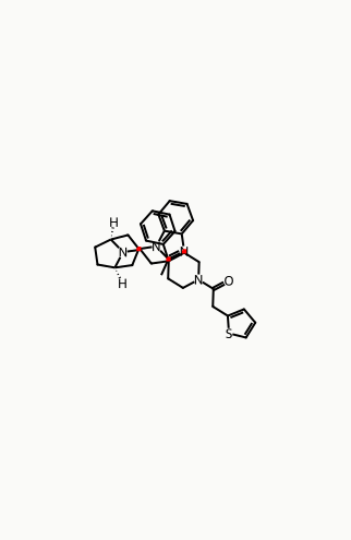 Cc1nc2ccccc2n1C1C[C@H]2CC[C@@H](C1)N2CCC1(c2ccccc2)CCN(C(=O)Cc2cccs2)CC1